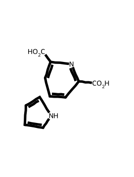 O=C(O)c1cccc(C(=O)O)n1.c1cc[nH]c1